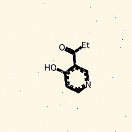 CCC(=O)c1cnccc1O